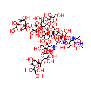 CCC(=O)N[C@@H]1OC(CO)[C@@H](O[C@@H]2OC(CO)[C@@H](O[C@@H]3OC(CO[C@H]4OC(CO)[C@@H](O)[C@H](O)C4O[C@@H]4O[C@@H](CO)[C@@H](O[C@@H]5OC(CO[C@]6(C(C)=O)C[C@@H](O)[C@@H](C)C([C@H](O)[C@H](O)CO)O6)[C@H](O)[C@H](O)C5O)C(O)C4NC(C)=O)[C@@H](O)[C@H](O[C@H]4OC(CO)[C@@H](O)C(O)C4O[C@@H]4OC(CO)[C@@H](O[C@@H]5OC(CO[C@]6(C(C)=O)C[C@@H](O)[C@@H](C)C([C@H](O)[C@H](O)CO)O6)[C@H](O)[C@H](O)C5O)[C@H](O)C4NC(C)=O)C3O)[C@H](O)C2NC(C)=O)[C@H](O)C1NC(C)=O